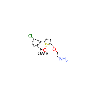 COC(=O)c1ccc(Cl)cc1-c1ccc(COCCN)s1